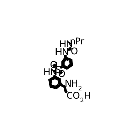 CCCNC(=O)Nc1cccc(S(=O)(=O)Nc2cccc(C(N)CC(=O)O)c2)c1